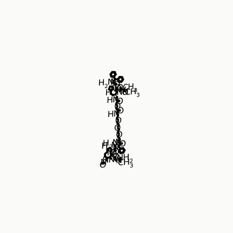 CO[C@H](C)C(=O)N[C@@H]1C(=O)N2[C@@H](CC[C@@H]1CNC(=O)COCC(=O)NCCOCCOCCOCCN(N)C(=O)[C@H](c1ccccc1)N(N)C(=O)[C@@H]1CCC3CCC(CN=O)C(NC(=O)CN(C)N)C(=O)N31)CC[C@H]2C(=O)N(N)C(c1ccccc1)c1ccccc1